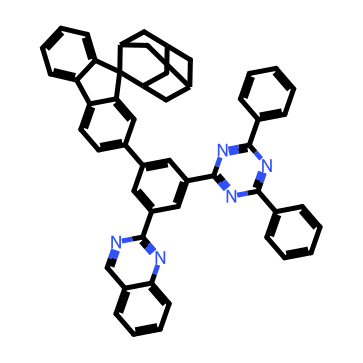 c1ccc(-c2nc(-c3ccccc3)nc(-c3cc(-c4ccc5c(c4)C4(c6ccccc6-5)C5CC6CC(C5)CC4C6)cc(-c4ncc5ccccc5n4)c3)n2)cc1